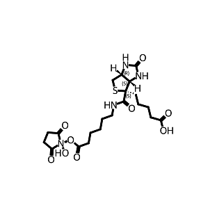 O=C(O)CCCC[C@]1(C(=O)NCCCCCC(=O)O[N+]2(O)C(=O)CCC2=O)SC[C@@H]2NC(=O)N[C@@H]21